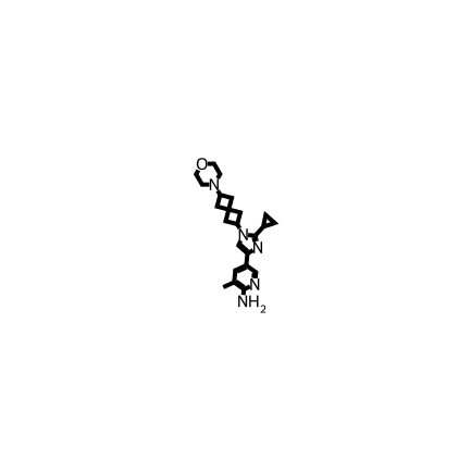 Cc1cc(-c2cn(C3CC4(CC(N5CCOCC5)C4)C3)c(C3CC3)n2)cnc1N